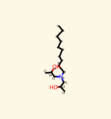 CCCCCCCCCCN(CC(C)O)CC(C)O